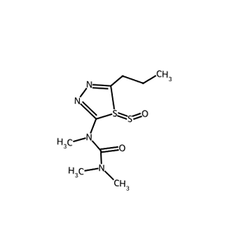 CCCC1=NN=C(N(C)C(=O)N(C)C)S1=S=O